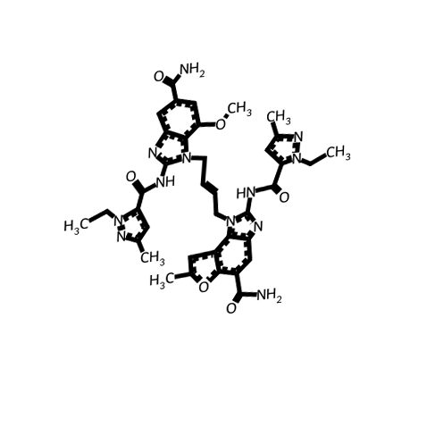 CCn1nc(C)cc1C(=O)Nc1nc2cc(C(N)=O)cc(OC)c2n1CC=CCn1c(NC(=O)c2cc(C)nn2CC)nc2cc(C(N)=O)c3oc(C)cc3c21